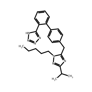 CCCCCn1nc(C(C)C)nc1Cc1ccc(-c2ccccc2-c2nnn[nH]2)cc1